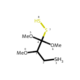 COC(C[SiH3])C(OC)(OC)SS